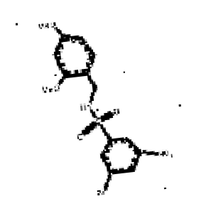 COc1ccc(CNS(=O)(=O)c2cc(Br)cc([N+](=O)[O-])c2)c(OC)c1